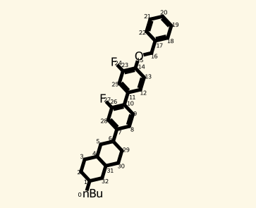 CCCCC1CCC2CC(c3ccc(-c4ccc(OCc5ccccc5)c(F)c4)c(F)c3)CCC2C1